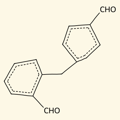 O=Cc1ccc(Cc2ccccc2C=O)cc1